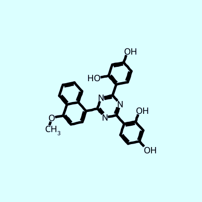 COc1ccc(-c2nc(-c3ccc(O)cc3O)nc(-c3ccc(O)cc3O)n2)c2ccccc12